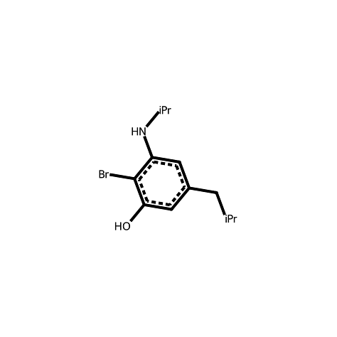 CC(C)Cc1cc(O)c(Br)c(NC(C)C)c1